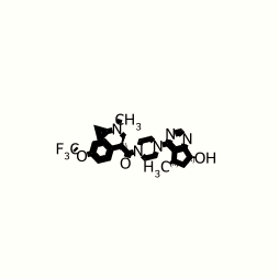 C[C@@H]1C[C@@H](O)c2ncnc(N3CCN(C(=O)[C@H](CN(C)C4CC4)c4ccc(OC(F)(F)F)cc4)CC3)c21